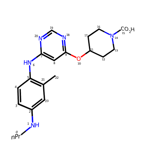 CCCNc1ccc(Nc2cc(OC3CCN(C(=O)O)CC3)ncn2)c(C)c1